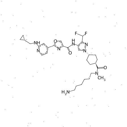 CN(CCCCCCN)C(=O)[C@H]1CC[C@H](n2cc(NC(=O)c3coc(-c4ccnc(NCC5CC5)c4)n3)c(C(F)F)n2)CC1